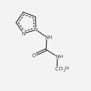 O=C(O)NC(=O)Nn1cccn1